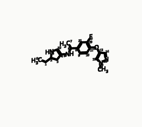 CCC1CC(NC(C)c2ccc(Oc3cnn(C)c3)c(F)c2)=CN1